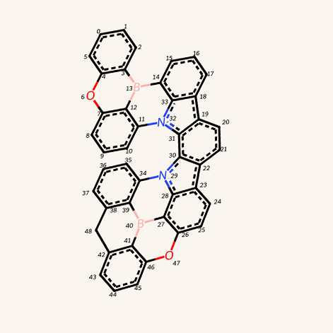 c1ccc2c(c1)Oc1cccc3c1B2c1cccc2c4ccc5c6ccc7c8c6n(c5c4n-3c12)-c1cccc2c1B8c1c(cccc1O7)C2